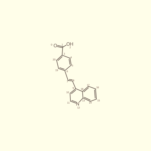 O=C(O)c1ccc(C=Cc2ccnc3ccccc23)cc1